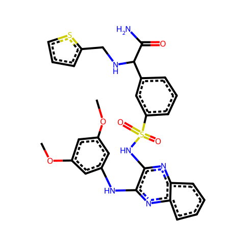 COc1cc(Nc2nc3ccccc3nc2NS(=O)(=O)c2cccc(C(NCc3cccs3)C(N)=O)c2)cc(OC)c1